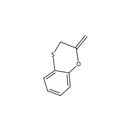 C=C1CSc2ccccc2O1